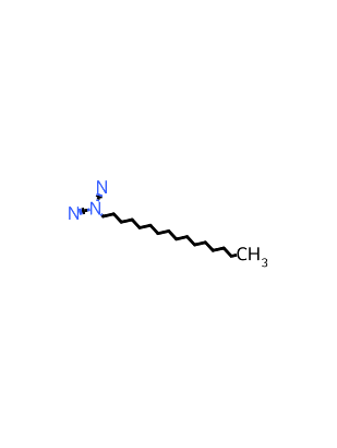 CCCCCCCCCCCCCCCCN(C#N)C#N